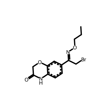 CCCON=C(CBr)c1ccc2c(c1)OCC(=O)N2